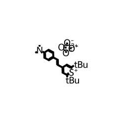 CN(C)c1ccc(C=Cc2cc(C(C)(C)C)[s+]c(C(C)(C)C)c2)cc1.[O-][Cl+3]([O-])([O-])[O-]